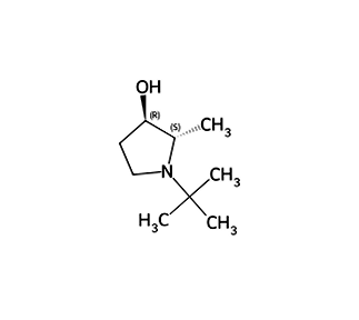 C[C@H]1[C@H](O)CCN1C(C)(C)C